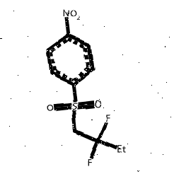 CCC(F)(F)CS(=O)(=O)c1ccc([N+](=O)[O-])cc1